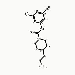 CCCN1CCN(C(=O)Nc2cc(Br)cc(Br)c2)CC1